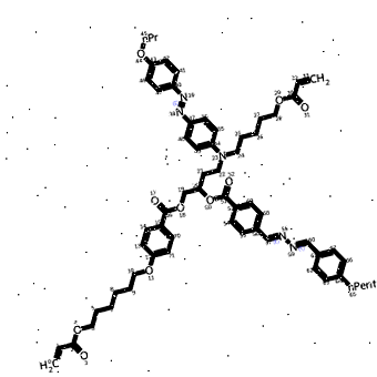 C=CC(=O)OCCCCCCOc1ccc(C(=O)OCC(CCN(CCCCCOC(=O)C=C)c2ccc(/N=N/c3ccc(OCCC)cc3)cc2)OC(=O)c2ccc(/C=N/N=C/c3ccc(CCCCC)cc3)cc2)cc1